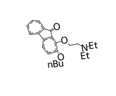 CCCCOc1ccc2c(c1OCCN(CC)CC)C(=O)c1ccccc1-2